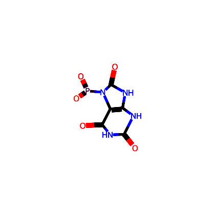 O=c1[nH]c(=O)c2c([nH]1)[nH]c(=O)n2P(=O)=O